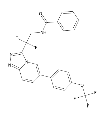 O=C(NCC(F)(F)c1nnc2ccc(-c3ccc(OC(F)(F)F)cc3)cn12)c1ccccc1